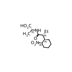 CC[C@@H](C(=O)N[C@H](C)C(=O)O)[C@H]1CCCC[C@H]1[N+](=O)[O-]